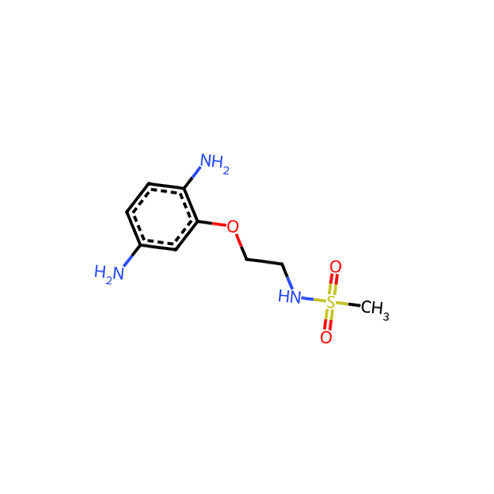 CS(=O)(=O)NCCOc1cc(N)ccc1N